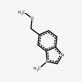 COCc1ccc2ncn(C)c2c1